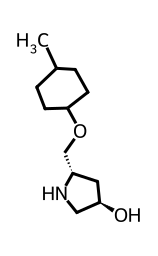 CC1CCC(OC[C@@H]2C[C@@H](O)CN2)CC1